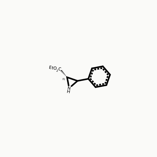 CCOC(=O)[C@H]1NC1c1ccccc1